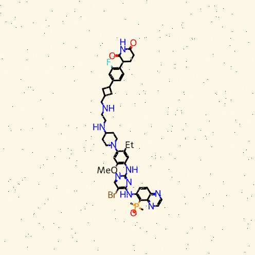 CCc1cc(Nc2ncc(Br)c(Nc3ccc4nccnc4c3P(C)(C)=O)n2)c(OC)cc1N1CCC(NCCNCC2CC(c3ccc(C4CCC(=O)NC4=O)c(F)c3)C2)CC1